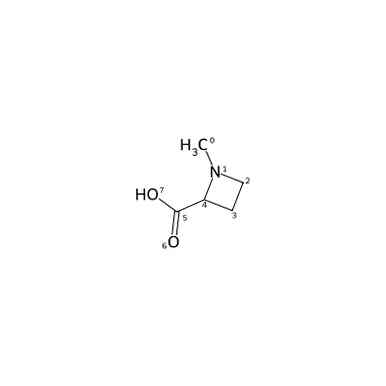 CN1CCC1C(=O)O